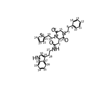 O=C(CC1C(=O)N(CCc2ccccc2)CC(=O)N1CCc1cccs1)NCCc1c[nH]c2ccccc12